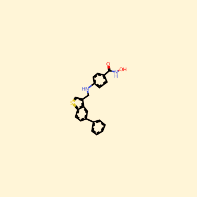 O=C(NO)c1ccc(NCc2csc3ccc(-c4ccccc4)cc23)cc1